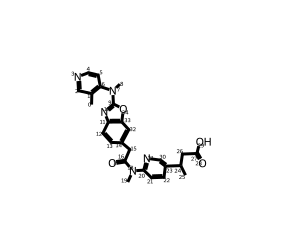 Cc1cnccc1N(C)c1nc2ccc(CC(=O)N(C)c3ccc(C(C)CC(=O)O)cn3)cc2o1